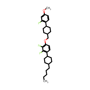 CCCCCC1CCC(c2ccc(OCC3CCC(c4ccc(OC)cc4F)CC3)c(F)c2F)CC1